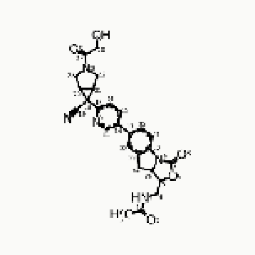 CC(=O)NCC1OC(=O)N2c3ccc(-c4ccc(C5(C#N)C6CN(C(=O)CO)CC65)nc4)cc3CC12